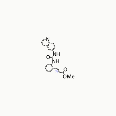 COC(=O)/C=C/c1ccccc1NC(=O)Nc1ccc2ncccc2c1